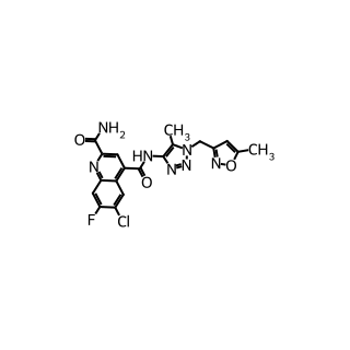 Cc1cc(Cn2nnc(NC(=O)c3cc(C(N)=O)nc4cc(F)c(Cl)cc34)c2C)no1